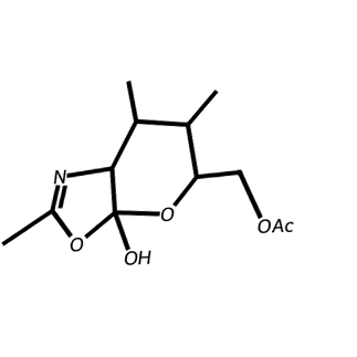 CC(=O)OCC1OC2(O)OC(C)=NC2C(C)C1C